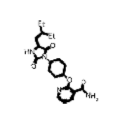 CCC(CC)CC1NC(=O)N([C@H]2CC[C@H](Oc3ncccc3C(N)=O)CC2)C1=O